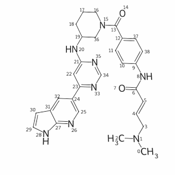 CN(C)CC=CC(=O)Nc1ccc(C(=O)N2CCCC(Nc3cc(-c4cnc5[nH]ccc5c4)ncn3)C2)cc1